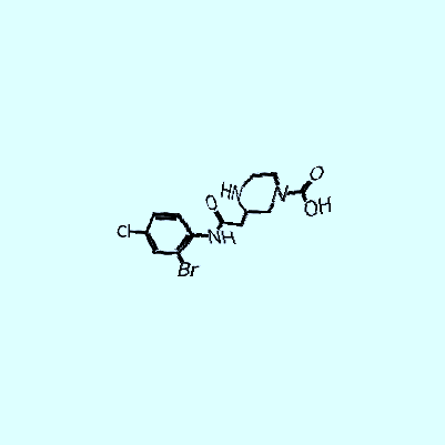 O=C(CC1CN(C(=O)O)CCN1)Nc1ccc(Cl)cc1Br